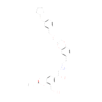 CC(=O)Oc1ccc([C@@H](O)CNCCc2ccc3c(c2)O[C@H](COCc2cccc(SC4CCCC4)c2)CO3)cc1CO